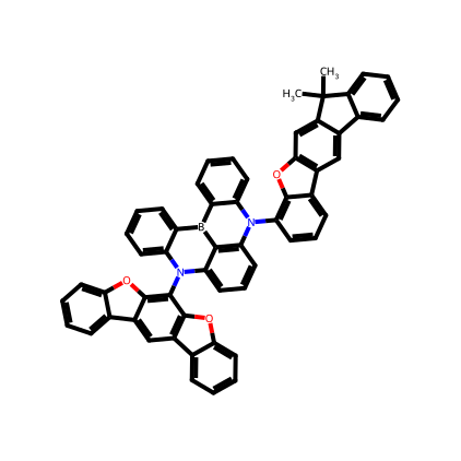 CC1(C)c2ccccc2-c2cc3c(cc21)oc1c(N2c4ccccc4B4c5ccccc5N(c5c6oc7ccccc7c6cc6c5oc5ccccc56)c5cccc2c54)cccc13